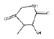 CC1C(=O)CNC(=O)C1S